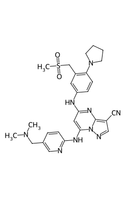 CN(C)Cc1ccc(Nc2cc(Nc3ccc(N4CCCC4)c(CS(C)(=O)=O)c3)nc3c(C#N)cnn23)nc1